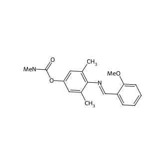 CNC(=O)Oc1cc(C)c(N=Cc2ccccc2OC)c(C)c1